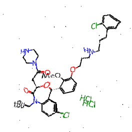 COc1c(OCCCNCCCc2ccccc2Cl)cccc1[C@H]1O[C@H](CC(=O)N2CCNCC2)C(=O)N(CC(C)(C)C)c2ccc(Cl)cc21.Cl.Cl